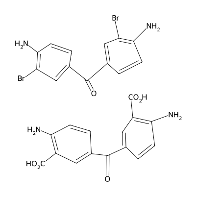 Nc1ccc(C(=O)c2ccc(N)c(Br)c2)cc1Br.Nc1ccc(C(=O)c2ccc(N)c(C(=O)O)c2)cc1C(=O)O